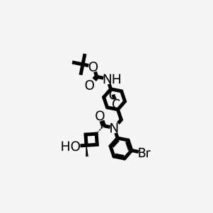 CC(C)(C)OC(=O)NC12CCC(CN(c3cccc(Br)c3)C(=O)[C@H]3C[C@@](C)(O)C3)(CC1)CC2